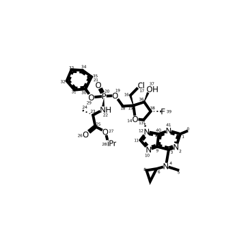 Cc1nc(N(C)C2CC2)c2ncn([C@@H]3O[C@](CCl)(CO[P@](=O)(N[C@@H](C)C(=O)OC(C)C)Oc4ccccc4)[C@@H](O)[C@@H]3F)c2n1